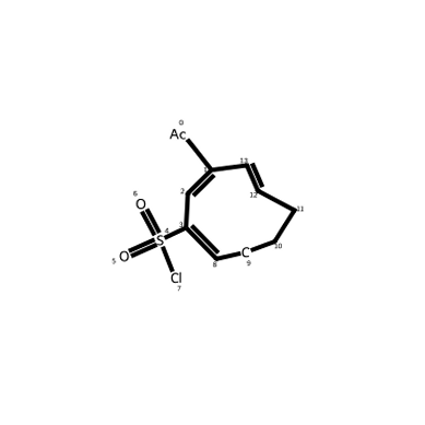 CC(=O)C1=C/C(S(=O)(=O)Cl)=C\CCC\C=C\1